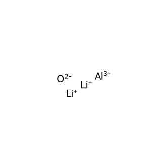 [Al+3].[Li+].[Li+].[O-2]